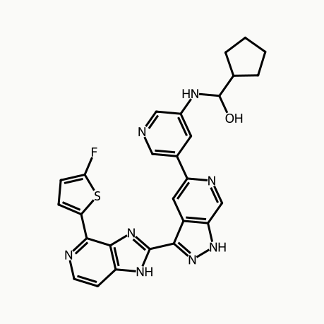 OC(Nc1cncc(-c2cc3c(-c4nc5c(-c6ccc(F)s6)nccc5[nH]4)n[nH]c3cn2)c1)C1CCCC1